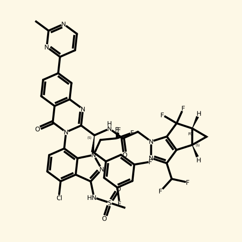 Cc1nccc(-c2ccc3c(=O)n(-c4ccc(Cl)c5c(NS(C)(=O)=O)nn(CC(F)(F)F)c45)c([C@H](Cc4cc(F)cc(F)c4)NC(=O)Cn4nc(C(F)F)c5c4C(F)(F)[C@@H]4C[C@H]54)nc3c2)n1